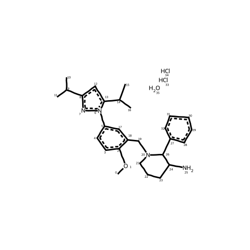 COc1ccc(-n2nc(C(C)C)cc2C(C)C)cc1CN1CCCC(N)C1c1ccccc1.Cl.Cl.O